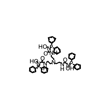 O=C(NCCN(CCNC(=O)N(O)P(c1ccccc1)c1ccccc1)CCNC(=O)N(O)P(c1ccccc1)c1ccccc1)N(O)P(c1ccccc1)c1ccccc1